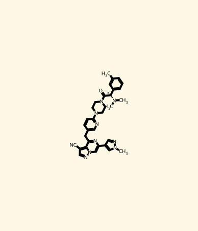 Cc1cccc([C@@H](C(=O)N2CCN(c3ccc(Cc4nc(-c5cnn(C)c5)cn5ncc(C#N)c45)cn3)CC2)N(C)C)c1